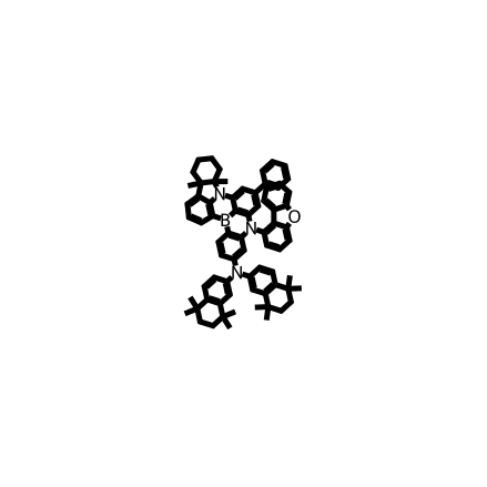 CC1(C)CCC(C)(C)c2cc(N(c3ccc4c(c3)N(c3cccc5oc6ccccc6c35)c3cc(-c5ccccc5)cc5c3B4c3cccc4c3N5C3(C)CCCCC43C)c3ccc4c(c3)C(C)(C)CCC4(C)C)ccc21